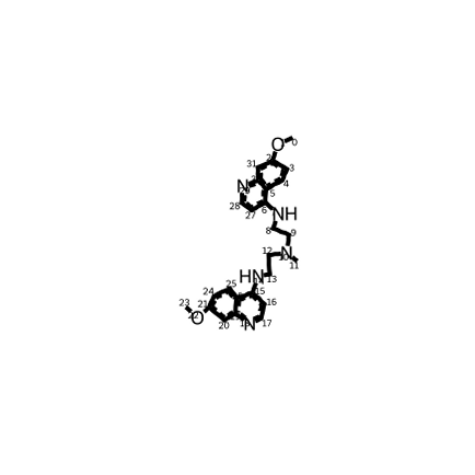 COc1ccc2c(NCCN(C)CCNc3ccnc4cc(OC)ccc34)ccnc2c1